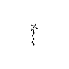 C=CCCC=NC(C)(C)C